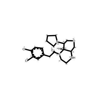 O=C(Cc1ccc(Cl)c(Cl)c1)N1CCNC2COCC(N3CCCC3)[C@H]21